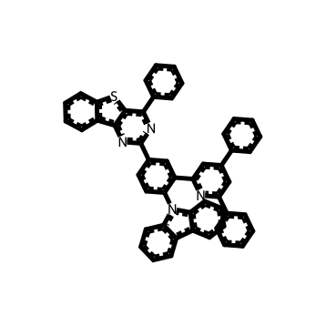 c1ccc(-c2cc(-c3ccccc3)nc(-c3cc(-c4nc(-c5ccccc5)c5sc6ccccc6c5n4)ccc3-n3c4ccccc4c4ccccc43)c2)cc1